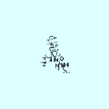 C#Cc1cnc(C(=O)Nc2ccc(C(C)(C)N3CCOCC3)nc2C2=CCC(C)(C)CC2)[nH]1